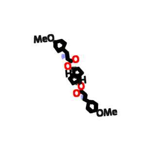 COc1ccc(/C=C/C(=O)O[C@H]2CC[C@H]3[C@@H]2CC[C@H]3OC(=O)/C=C/c2ccc(OC)cc2)cc1